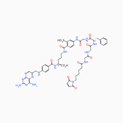 Nc1nc(N)c2nc(CNc3ccc(C(=O)N[C@@H](CCCNC(=O)c4ccc(NC(=O)CNC(=O)[C@H](Cc5ccccc5)NC(=O)CNC(=O)CNC(=O)CCCCCN5C(=O)C=CC5=O)cc4S(=O)(=O)O)C(=O)O)cc3)cnc2n1